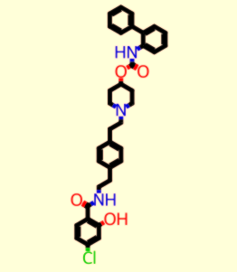 O=C(Nc1ccccc1-c1ccccc1)OC1CCN(CCc2ccc(CCNC(=O)c3ccc(Cl)cc3O)cc2)CC1